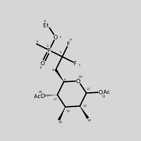 CCOP(C)(=O)C(F)(F)C[C@H]1OC(OC(C)=O)[C@@H](C)[C@@H](C)[C@@H]1OC(C)=O